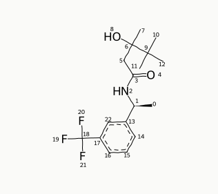 C[C@H](NC(=O)CC(C)(O)C(C)(C)C)c1cccc(C(F)(F)F)c1